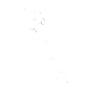 O=C(Nc1ccccc1CO)NC1CCN(CCCOCCc2ccc(F)cc2)CC1